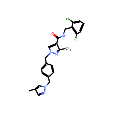 Cc1cnn(Cc2ccc(Cn3cc(C(=O)NCc4c(Cl)cccc4Cl)c(C(F)(F)F)n3)cc2)c1